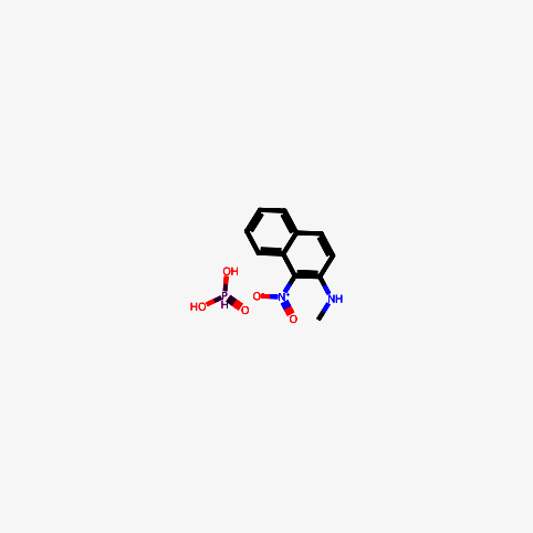 CNc1ccc2ccccc2c1[N+](=O)[O-].O=[PH](O)O